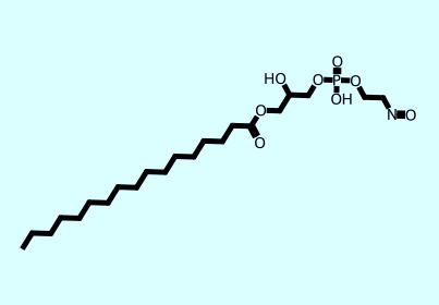 CCCCCCCCCCCCCCCCC(=O)OCC(O)COP(=O)(O)OCCN=O